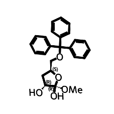 CO[C@@]1(O)O[C@H](COC(c2ccccc2)(c2ccccc2)c2ccccc2)C[C@H]1O